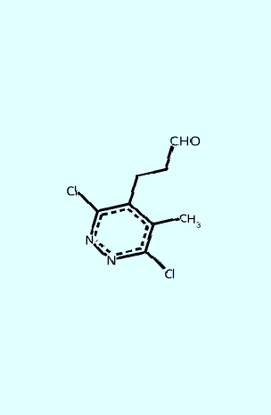 Cc1c(Cl)nnc(Cl)c1CCC=O